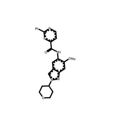 COc1cc2nn(C3CCOCC3)cc2cc1NC(=O)c1ccnc(C(C)C)n1